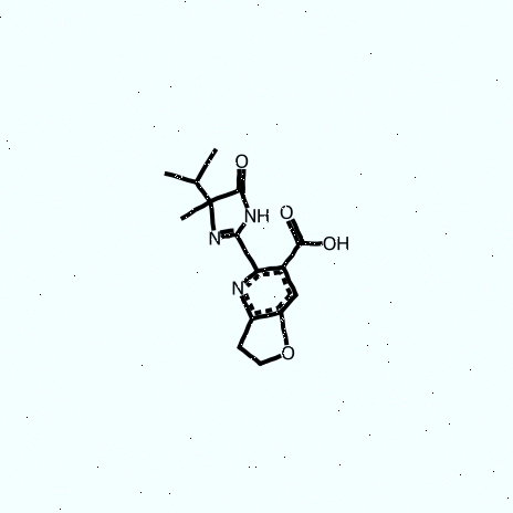 CC(C)C1(C)N=C(c2nc3c(cc2C(=O)O)OCC3)NC1=O